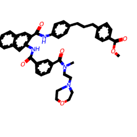 COC(=O)c1ccc(CCCc2ccc(NC(=O)c3cc4ccccc4cc3NC(=O)c3cccc(C(=O)N(C)CCN4CCOCC4)c3)cc2)cc1